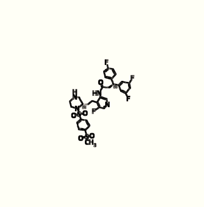 CS(=O)(=O)c1ccc(S(=O)(=O)N2CCNC[C@@H]2CCc2c(F)cncc2NC(=O)C[C@@H](c2ccc(F)cc2)c2cc(F)cc(F)c2)cc1